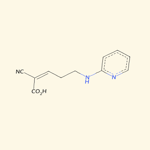 N#CC(=CCCNc1ccccn1)C(=O)O